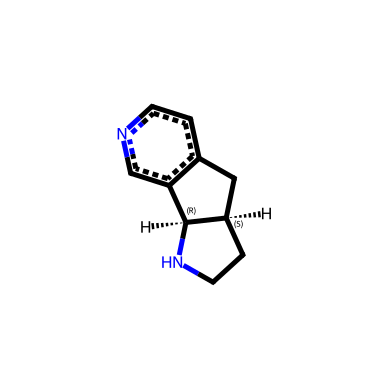 c1cc2c(cn1)[C@@H]1NCC[C@@H]1C2